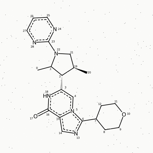 CC1[C@@H](c2cn3c(C4CCOCC4)ncc3c(=O)[nH]2)[C@H](C)CN1c1ncccn1